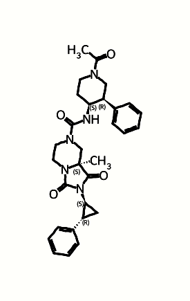 CC(=O)N1CC[C@H](NC(=O)N2CCN3C(=O)N([C@H]4C[C@@H]4c4ccccc4)C(=O)[C@]3(C)C2)[C@H](c2ccccc2)C1